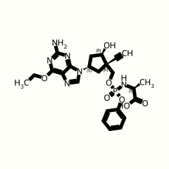 C#C[C@@]1(COP(=O)(N[C@@H](C)C(=O)O)Oc2ccccc2)C[C@H](n2cnc3c(OCC)nc(N)nc32)C[C@H]1O